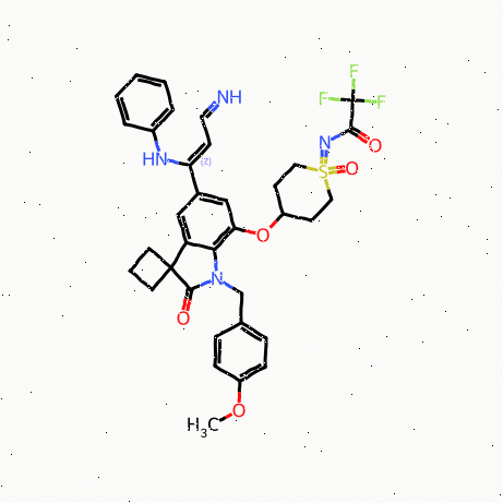 COc1ccc(CN2C(=O)C3(CCC3)c3cc(/C(=C/C=N)Nc4ccccc4)cc(OC4CCS(=O)(=NC(=O)C(F)(F)F)CC4)c32)cc1